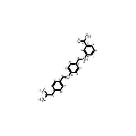 CC(C)Cc1ccc(COc2ccc(CNc3cccc(C(=O)O)c3)cc2)cc1